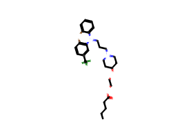 CCCCC(=O)OCCOC1CCN(CCCN2c3ccccc3Sc3ccc(C(F)(F)F)cc32)CC1